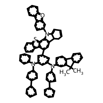 CC1(C)c2ccccc2-c2ccc(N(c3ccc(-c4ccccc4)cc3)c3cc(-c4cc5c(c6sc7ccccc7c46)N(c4ccc6c(c4)oc4ccccc46)C4=CC=CCC45)cc(N(c4ccccc4)c4ccc(-c5ccccc5)cc4)c3)cc21